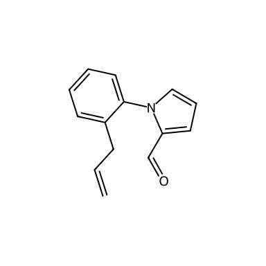 C=CCc1ccccc1-n1cccc1C=O